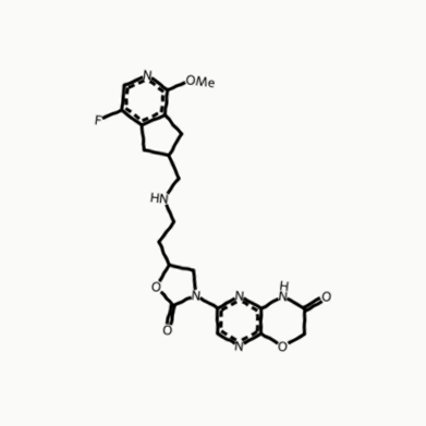 COc1ncc(F)c2c1CC(CNCCC1CN(c3cnc4c(n3)NC(=O)CO4)C(=O)O1)C2